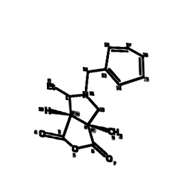 CCC1[C@H]2C(=O)OC(=O)[C@@]2(C)CN1Cc1ccccc1